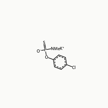 CNP([O-])(=S)Oc1ccc(Cl)cc1.[K+]